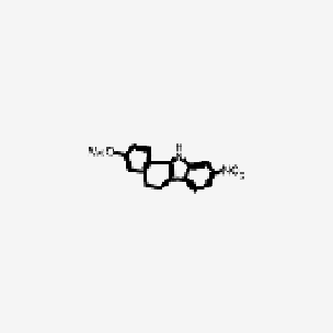 COc1ccc2c(c1)CCc1c-2[nH]c2cc([N+](=O)[O-])ccc12